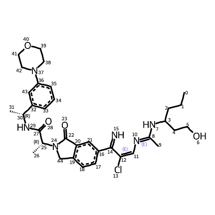 CCCC(CCO)N/C(C)=N/C=C(/Cl)C(=N)c1ccc2c(c1)C(=O)N([C@H](C)C(=O)N[C@H](C)c1cccc(N3CCOCC3)c1)C2